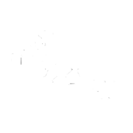 CC(=O)N[C@](C)(CCc1ccc(-c2ccc(OCC3CCCCC3)cc2)o1)COC(C)=O